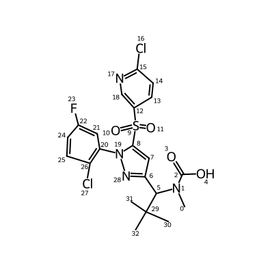 CN(C(=O)O)C(c1cc(S(=O)(=O)c2ccc(Cl)nc2)n(-c2cc(F)ccc2Cl)n1)C(C)(C)C